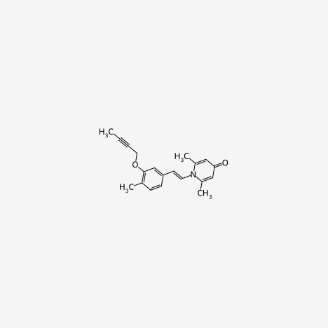 CC#CCOc1cc(/C=C/n2c(C)cc(=O)cc2C)ccc1C